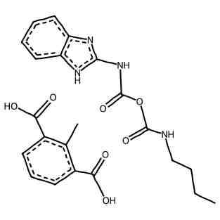 CCCCNC(=O)OC(=O)Nc1nc2ccccc2[nH]1.Cc1c(C(=O)O)cccc1C(=O)O